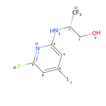 OC[C@H](Nc1cc(I)cc(F)n1)C(F)(F)F